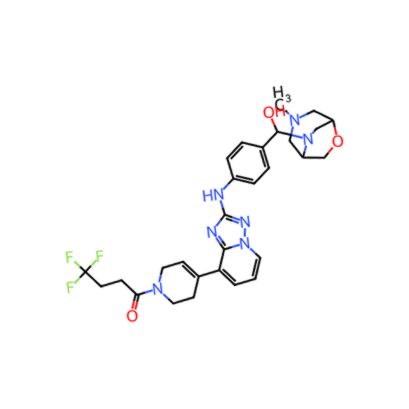 CN1CC2CN(C(O)c3ccc(Nc4nc5c(C6=CCN(C(=O)CCC(F)(F)F)CC6)cccn5n4)cc3)C(CO2)C1